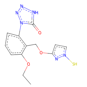 CCOc1cccc(-n2nn[nH]c2=O)c1COc1ccn(S)n1